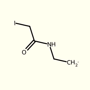 [CH2]CNC(=O)CI